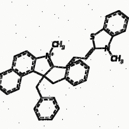 CN1/C(=C/C=C/C2=[N+](C)c3ccc4ccccc4c3C2(Cc2ccccc2)Cc2ccccc2)Sc2ccccc21